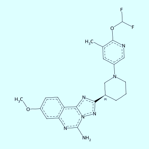 COc1ccc2c(c1)nc(N)n1nc([C@@H]3CCCN(c4cnc(OC(F)F)c(C)c4)C3)nc21